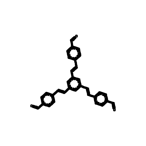 O=Cc1ccc(C=Cc2cc(C=Cc3ccc(C=O)cc3)cc(C=Cc3ccc(C=O)cc3)c2)cc1